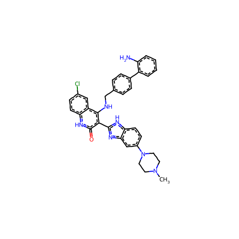 CN1CCN(c2ccc3[nH]c(-c4c(NCc5ccc(-c6ccccc6N)cc5)c5cc(Cl)ccc5[nH]c4=O)nc3c2)CC1